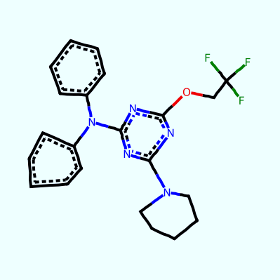 FC(F)(F)COc1nc(N2CCCCC2)nc(N(c2ccccc2)c2ccccc2)n1